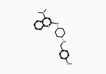 CSc1ccc(CN[C@H]2CC[C@@H](Nc3cc(N(C)C)c4ccccc4n3)CC2)cc1